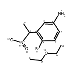 CC(c1cc(N)ccc1Br)[N+](=O)[O-].CCOCC